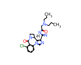 CCCN(CCC)Cc1nc(-c2ncn3c2[C@@H]2CCN2C(=O)c2c(Cl)cccc2-3)no1